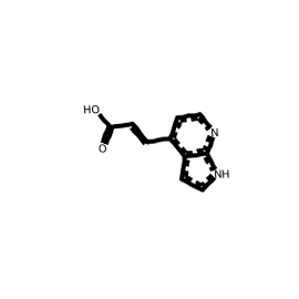 O=C(O)C=Cc1ccnc2[nH]ccc12